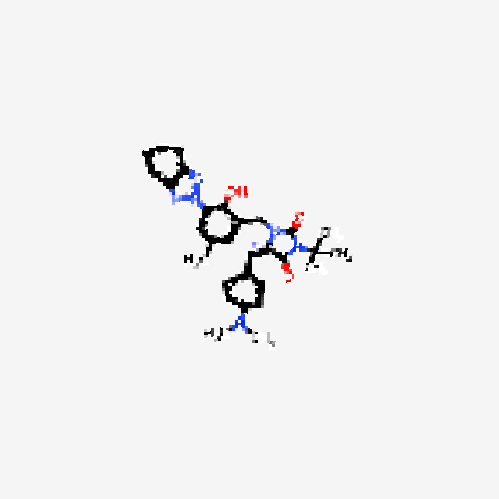 Cc1cc(CN2C(=O)N(C(C)(C)C)C(=O)/C2=C\c2ccc(N(C)C)cc2)c(O)c(-n2nc3ccccc3n2)c1